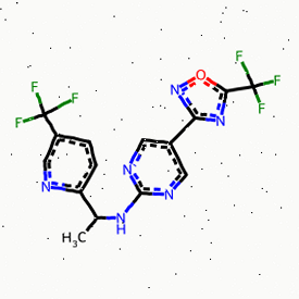 CC(Nc1ncc(-c2noc(C(F)(F)F)n2)cn1)c1ccc(C(F)(F)F)cn1